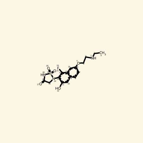 CCNCCOc1ccc2cc(O)c(N3CC(=O)NS3(=O)=O)c(F)c2c1